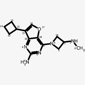 CNC1CN(c2nc(N)nc3c(C4CCC4)coc23)C1